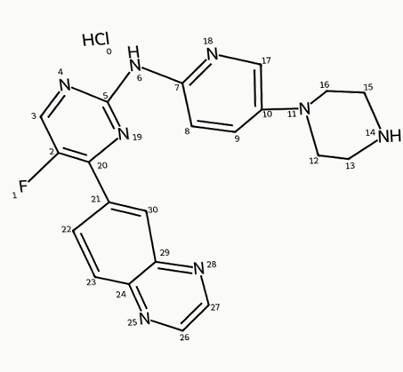 Cl.Fc1cnc(Nc2ccc(N3CCNCC3)cn2)nc1-c1ccc2nccnc2c1